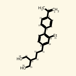 C=C(C)c1ccc(-c2ccc(CCCC(CO)CO)cc2CC)cc1